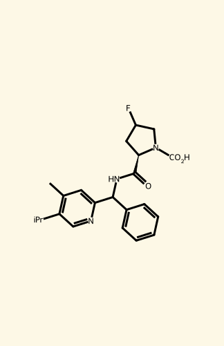 Cc1cc(C(NC(=O)[C@H]2CC(F)CN2C(=O)O)c2ccccc2)ncc1C(C)C